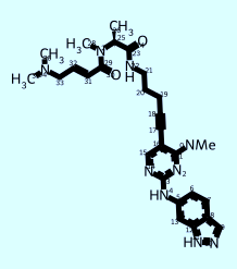 CNc1nc(Nc2ccc3cn[nH]c3c2)ncc1C#CCCCNC(=O)[C@H](C)N(C)C(=O)/C=C/CN(C)C